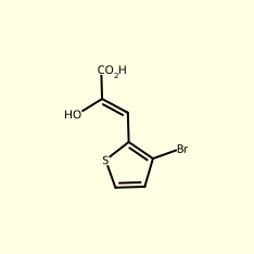 O=C(O)/C(O)=C/c1sccc1Br